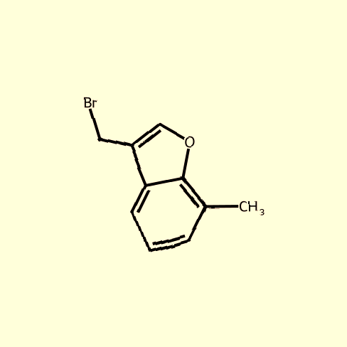 Cc1cccc2c(CBr)coc12